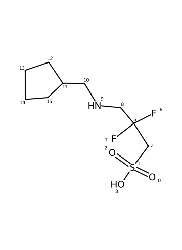 O=S(=O)(O)CC(F)(F)CNCC1CCCC1